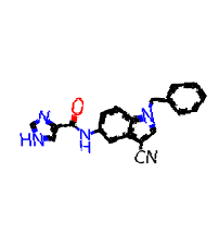 N#Cc1cn(Cc2ccccc2)c2ccc(NC(=O)c3c[nH]cn3)cc12